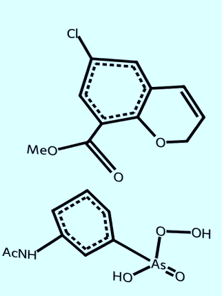 CC(=O)Nc1cccc([As](=O)(O)OO)c1.COC(=O)c1cc(Cl)cc2c1OCC=C2